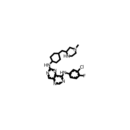 CN1CCNC(CC2CCC(Nc3ncc4ncnc(Nc5ccc(F)c(Cl)c5)c4n3)CC2)C1